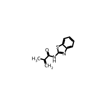 C=C(C)C(=O)Nc1nc2ccccc2s1